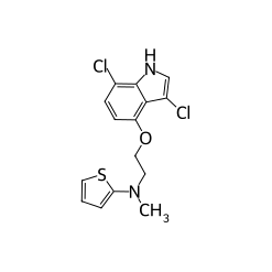 CN(CCOc1ccc(Cl)c2[nH]cc(Cl)c12)c1cccs1